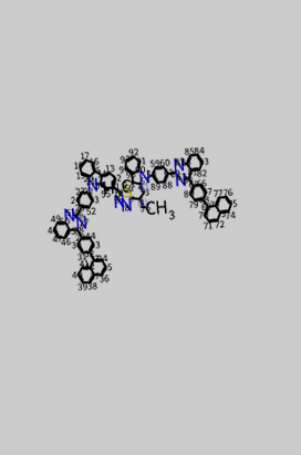 C=c1/c(=C\C(=C/C)c2nnc(-c3ccc4c5ccccc5n(-c5ccc(-c6nc(-c7ccc(-c8cccc9ccccc89)cc7)c7ccccc7n6)cc5)c4c3)s2)n(-c2ccc(-c3nc(-c4ccc(-c5cccc6ccccc56)cc4)c4ccccc4n3)cc2)c2ccccc12